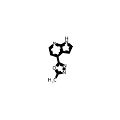 Cc1nnc(-c2ccnc3[nH]ccc23)o1